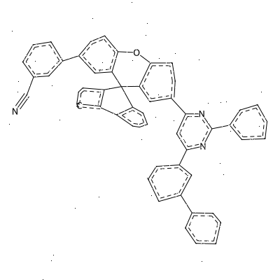 N#Cc1cccc(-c2ccc3c(c2)C2(c4cc(-c5cc(-c6cccc(-c7ccccc7)c6)nc(-c6ccccc6)n5)ccc4O3)c3ccccc3-c3ccccc32)c1